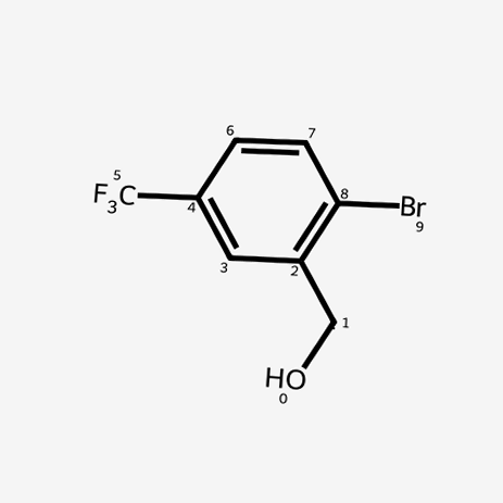 O[CH]c1cc(C(F)(F)F)ccc1Br